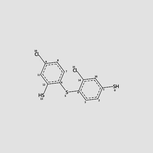 Sc1ccc(Sc2ccc(Cl)cc2S)c(Cl)c1